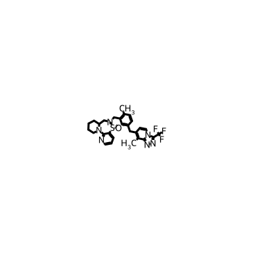 Cc1ccc(Cc2ccn3c(C(F)(F)F)nnc3c2C)cc1CN1CC2CCCCN2c2ncccc2[S+]1[O-]